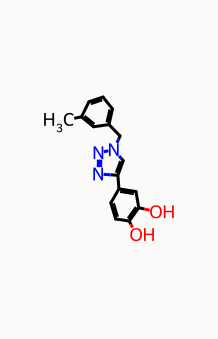 Cc1cccc(Cn2cc(-c3ccc(O)c(O)c3)nn2)c1